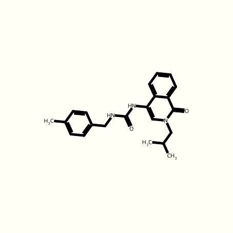 Cc1ccc(CNC(=O)Nc2cn(CC(C)C)c(=O)c3ccccc23)cc1